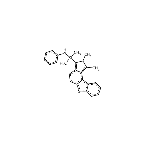 CC1=c2c(ccc3sc4ccccc4c23)=C([Si](C)(C)Nc2ccccc2)C1C